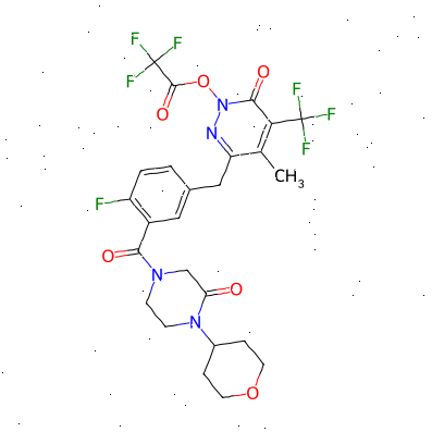 Cc1c(Cc2ccc(F)c(C(=O)N3CCN(C4CCOCC4)C(=O)C3)c2)nn(OC(=O)C(F)(F)F)c(=O)c1C(F)(F)F